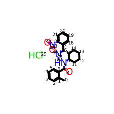 Cc1ccccc1C(=O)N[C@@H]1CCCC[C@H]1C(c1ccccc1[N+](=O)[O-])N(C)C.Cl